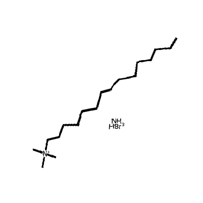 Br.CCCCCCCCCCCCCCC[N+](C)(C)C.N